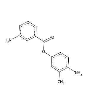 Cc1cc(OC(=O)c2cccc(N)c2)ccc1N